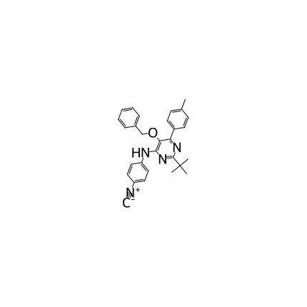 [C-]#[N+]c1ccc(Nc2nc(C(C)(C)C)nc(-c3ccc(C)cc3)c2OCc2ccccc2)cc1